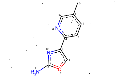 Cc1ccc(-c2coc(N)n2)nc1